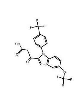 O=C(O)CC(=O)c1cc2cc(OC(F)(F)F)ccc2n1-c1ccc(C(F)(F)F)cc1